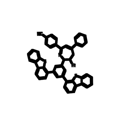 CCC1CC(c2ccccc2)=CC(c2ccc(C#N)cc2)=NC1c1cc(-c2cccc3c2sc2ccccc23)cc(-c2cccc3c2sc2ccccc23)c1